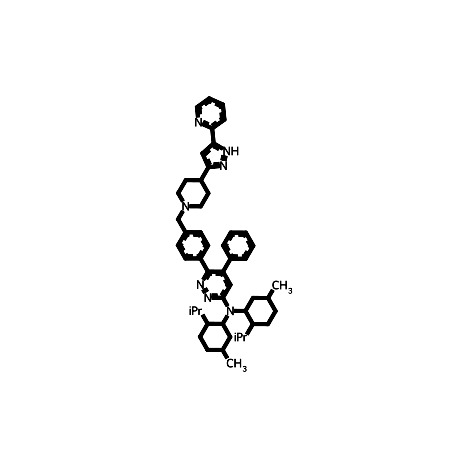 CC1CCC(C(C)C)C(N(c2cc(-c3ccccc3)c(-c3ccc(CN4CCC(c5cc(-c6ccccn6)[nH]n5)CC4)cc3)nn2)C2CC(C)CCC2C(C)C)C1